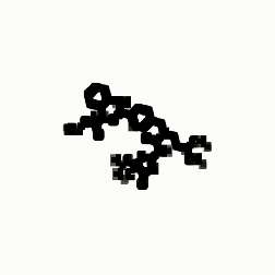 CN(C)CCN(Cc1ccc(C(=O)Nc2ccccc2NC(=O)OC(C)(C)C)nc1)C(=O)NC1=NC(=O)C(C)(C)S1